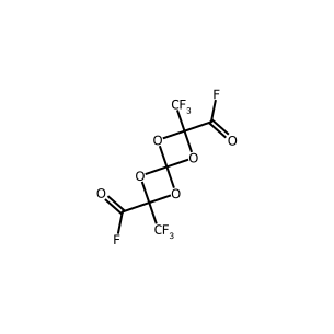 O=C(F)C1(C(F)(F)F)OC2(O1)OC(C(=O)F)(C(F)(F)F)O2